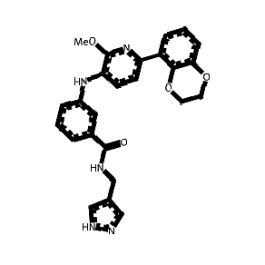 COc1nc(-c2cccc3c2OCCO3)ccc1Nc1cccc(C(=O)NCc2cn[nH]c2)c1